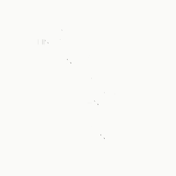 CC(C)c1cc(NC(=O)c2ccc3cc4n(c3c2)CCCNC4=O)on1